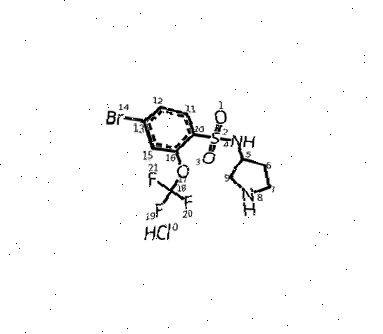 Cl.O=S(=O)(NC1CCNC1)c1ccc(Br)cc1OC(F)(F)F